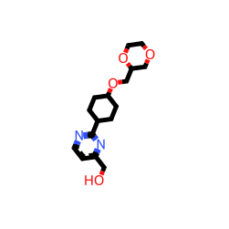 OCc1ccnc(C2CCC(OCC3COCCO3)CC2)n1